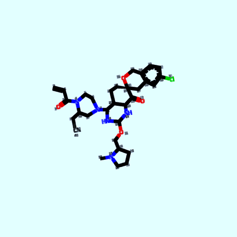 C=CC(=O)N1CCN(C2NC(OCC3CCCN3C)NC3C(=O)[C@@]4(CCC32)Cc2cc(Cl)ccc2CO4)CC1CC#N